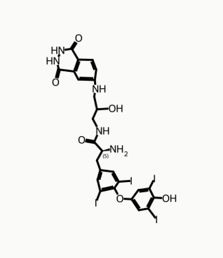 N[C@@H](Cc1cc(I)c(Oc2cc(I)c(O)c(I)c2)c(I)c1)C(=O)NCC(O)CNc1ccc2c(=O)[nH][nH]c(=O)c2c1